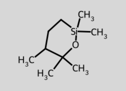 CC1CC[Si](C)(C)OC1(C)C